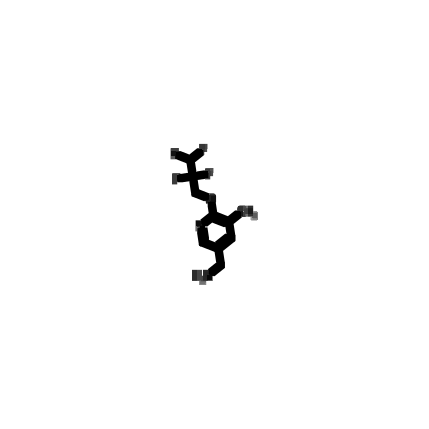 Cc1cc(CN)cnc1OCC(F)(F)C(F)F